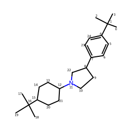 CC(C)(C)c1ccc(C2CCN(C3CCC(C(C)(C)C)CC3)C2)cc1